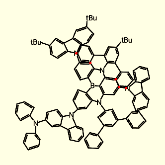 CC(C)(C)c1cc(-c2ccccc2)c(N2c3cc(-n4c5ccc(C(C)(C)C)cc5c5cc(C(C)(C)C)ccc54)ccc3B3c4ccc(-n5c6ccccc6c6cc(N(c7ccccc7)c7ccccc7)ccc65)cc4N(c4cc(-c5ccccc5)cc(-c5ccccc5)c4)c4cc(-n5c6ccccc6c6ccccc65)cc2c43)c(-c2ccccc2)c1